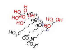 CCCCCCCC/C=C\CCCCCCCC(=O)O.CCCCCCCC/C=C\CCCCCCCC(=O)O.CCCCCCCC/C=C\CCCCCCCC(=O)O.OCC(O)CO.OCC(O)CO.OCC(O)CO